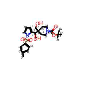 Cc1ccc(S(=O)(=O)n2cccc2C(O)C2(CO)CCN(C(=O)OC(C)(C)C)CC2)cc1